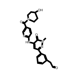 Cn1nc(-c2cccc(CC=O)c2)cc(Nc2ccc(C(=O)N3CCC(O)CC3)cn2)c1=O